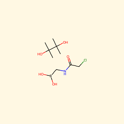 CC(C)(O)C(C)(C)O.O=C(CCl)NCB(O)O